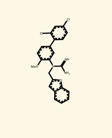 COc1ccc(-c2ccc(Cl)cc2Cl)cc1N(Cc1cc2ccccc2o1)C(=N)N